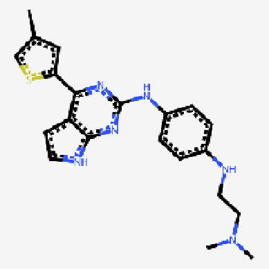 Cc1csc(-c2nc(Nc3ccc(NCCN(C)C)cc3)nc3[nH]ccc23)c1